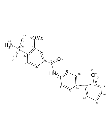 COc1cc(C(=O)Nc2ccc(-c3ccccc3C(F)(F)F)cc2)ccc1S(N)(=O)=O